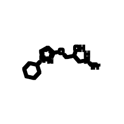 CC(C)NCC(O)COc1ccn(C2CCCCC2)n1